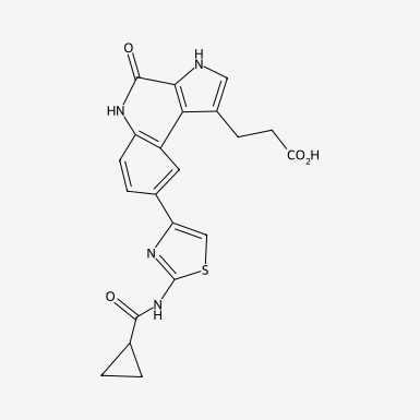 O=C(O)CCc1c[nH]c2c(=O)[nH]c3ccc(-c4csc(NC(=O)C5CC5)n4)cc3c12